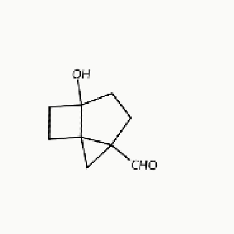 O=CC12CCC3(O)CCC31C2